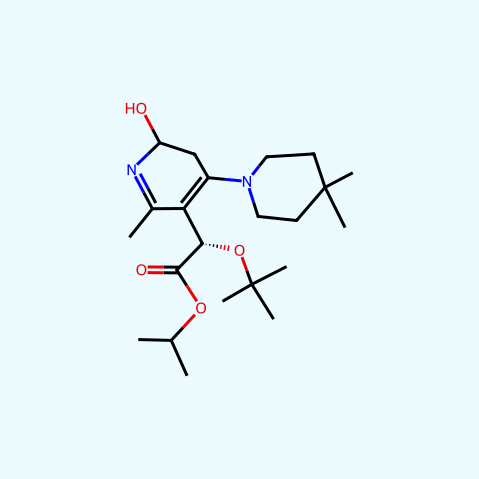 CC1=NC(O)CC(N2CCC(C)(C)CC2)=C1[C@H](OC(C)(C)C)C(=O)OC(C)C